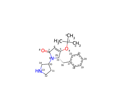 CC(C)(C)OC1=CC(=O)N(C2CCNC2)[C@H]1Cc1ccccc1